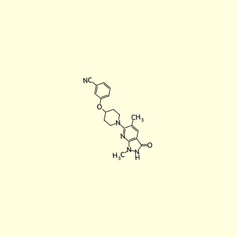 Cc1cc2c(=O)[nH]n(C)c2nc1N1CCC(Oc2cccc(C#N)c2)CC1